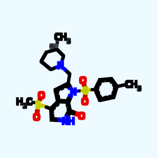 Cc1ccc(S(=O)(=O)n2c(CN3CCC[C@H](C)C3)cc3c(S(C)(=O)=O)c[nH]c(=O)c32)cc1